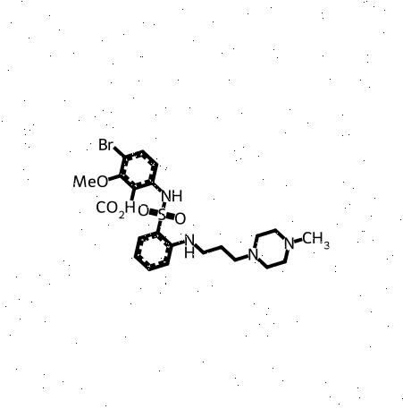 COc1c(Br)ccc(NS(=O)(=O)c2ccccc2NCCCN2CCN(C)CC2)c1C(=O)O